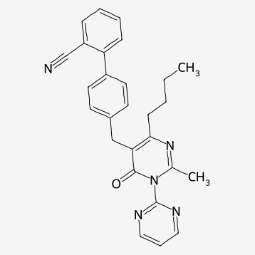 CCCCc1nc(C)n(-c2ncccn2)c(=O)c1Cc1ccc(-c2ccccc2C#N)cc1